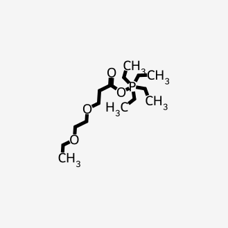 CCOCCOCCC(=O)OP(CC)(CC)(CC)CC